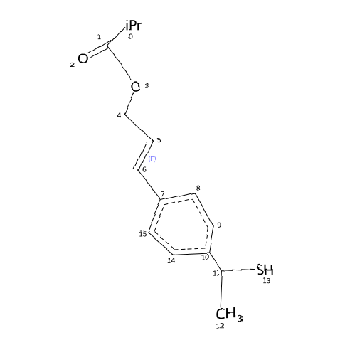 CC(C)C(=O)OC/C=C/c1ccc(C(C)S)cc1